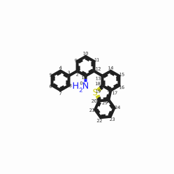 Nc1c(-c2ccccc2)cccc1-c1cccc2c1sc1ccccc12